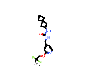 CC(F)(F)COc1cc(CNC(=O)NC2CC3(CCC3)C2)ccn1